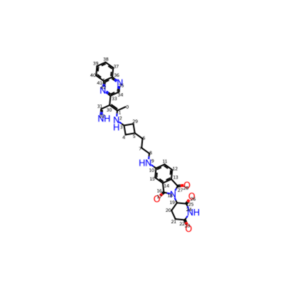 C/C(NC1CC(CCCNc2ccc3c(c2)C(=O)N(C2CCC(=O)NC2=O)C3=O)C1)=C(/C=N)c1cnc2ccccc2n1